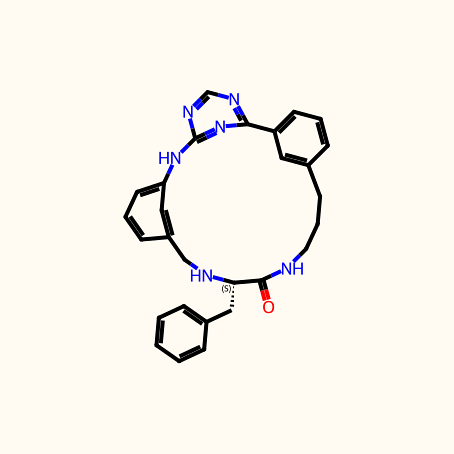 O=C1NCCCc2cccc(c2)-c2ncnc(n2)Nc2cccc(c2)CN[C@H]1Cc1ccccc1